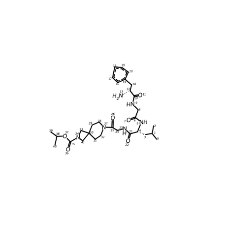 CC(C)C[C@@H](NC(=O)CNC(=O)[C@H](N)Cc1ccccc1)C(=O)NCC(=O)N1CCC2(CC1)CN(C(=O)OC(C)C)C2